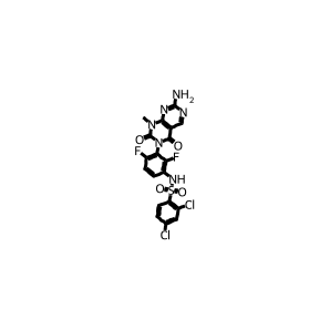 Cn1c(=O)n(-c2c(F)ccc(NS(=O)(=O)c3ccc(Cl)cc3Cl)c2F)c(=O)c2cnc(N)nc21